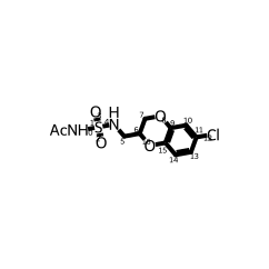 CC(=O)NS(=O)(=O)NCC1COc2cc(Cl)ccc2O1